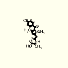 Cc1cc(CC(=O)NC(C)C(=O)O)n(C)c1C(=O)c1ccc(Cl)cc1